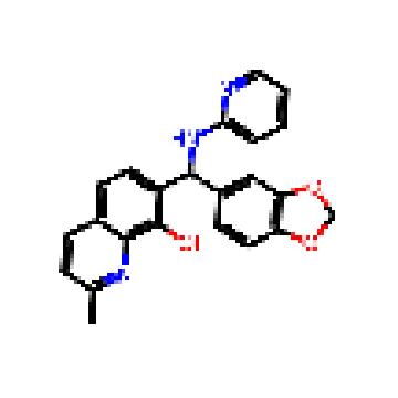 Cc1ccc2ccc(C(Nc3ccccn3)c3ccc4c(c3)OCO4)c(O)c2n1